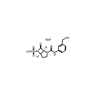 O=C(Nc1cccc(CO)c1)N1CC[C@@H]2[C@H]1C(=O)N2S(=O)(=O)O.[NaH]